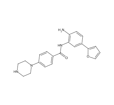 Nc1ccc(-c2ccco2)cc1NC(=O)c1ccc(N2CCNCC2)cc1